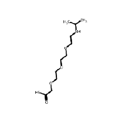 CC(C)NCCOCCOCCOCC(=O)S